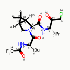 CC(C)[C@H](NC(=O)[C@@H]1[C@@H]2[C@H](CN1C(=O)[C@@H](NC(=O)C(F)(F)F)C(C)(C)C)C2(C)C)C(=O)CCl